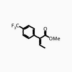 CC=C(C(=O)OC)c1ccc(C(F)(F)F)cc1